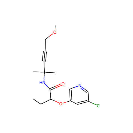 CCC(Oc1cncc(Cl)c1)C(=O)NC(C)(C)C#CCOC